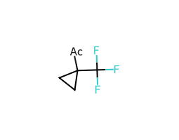 CC(=O)C1(C(F)(F)F)CC1